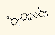 N[C@]1(Cc2ccc(-c3cc(Cl)ccc3F)cc2)C[C@@](CO)(C(=O)O)C1